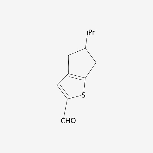 CC(C)C1Cc2cc(C=O)sc2C1